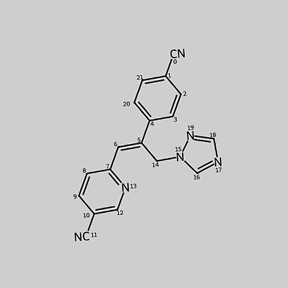 N#Cc1ccc(C(=Cc2ccc(C#N)cn2)Cn2cncn2)cc1